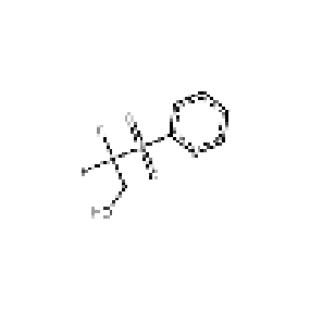 O=S(=O)(c1ccccn1)C(F)(F)CO